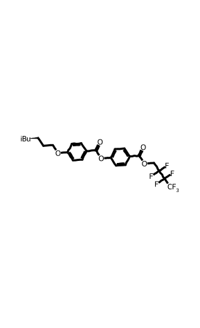 CC[C@H](C)CCCOc1ccc(C(=O)Oc2ccc(C(=O)OCC(F)(F)C(F)(F)C(F)(F)F)cc2)cc1